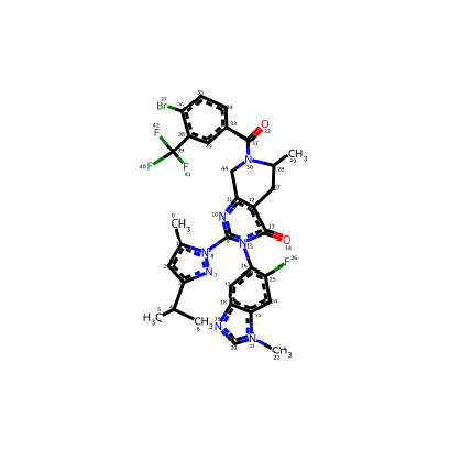 Cc1cc(C(C)C)nn1-c1nc2c(c(=O)n1-c1cc3ncn(C)c3cc1F)CC(C)N(C(=O)c1ccc(Br)c(C(F)(F)F)c1)C2